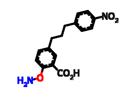 NOc1ccc(CCCc2ccc([N+](=O)[O-])cc2)cc1C(=O)O